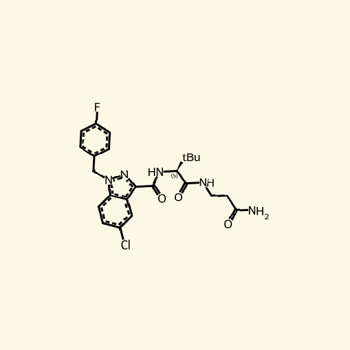 CC(C)(C)[C@H](NC(=O)c1nn(Cc2ccc(F)cc2)c2ccc(Cl)cc12)C(=O)NCCC(N)=O